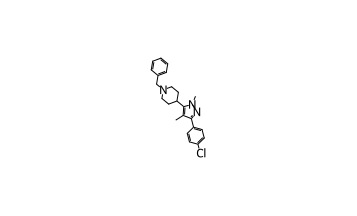 Cc1c(-c2ccc(Cl)cc2)nn(C)c1C1CCN(Cc2ccccc2)CC1